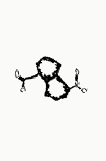 O=C(Cl)c1cccc2c([N+](=O)[O-])cccc12